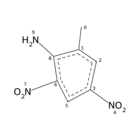 Cc1cc([N+](=O)[O-])cc([N+](=O)[O-])c1N